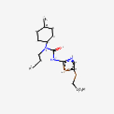 CC(C)CCN(C(=O)Nc1ncc(SCC(=O)O)s1)C1CCC(C(C)(C)C)CC1